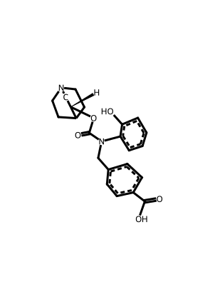 O=C(O)c1ccc(CN(C(=O)O[C@H]2CN3CCC2CC3)c2ccccc2O)cc1